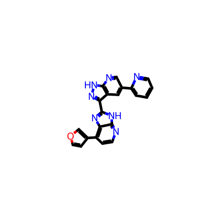 c1ccc(-c2cnc3[nH]nc(-c4nc5c(-c6ccoc6)ccnc5[nH]4)c3c2)nc1